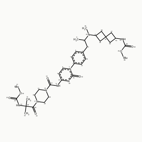 CC(Cc1ccc(-n2ccc(NC(=O)N3CCN(C(=O)C(C)(C)NC(=O)OC(C)(C)C)CC3)nc2=O)cc1)N(C)C1CC2(CC(NC(=O)OC(C)(C)C)C2)C1